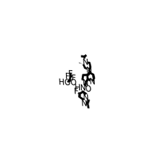 Cc1cn2cc(NC(=O)N3CCc4c(N5CCN(C(C)C)[C@@H](C)C5)ccnc43)c(F)cc2n1.O=C(O)C(F)(F)F